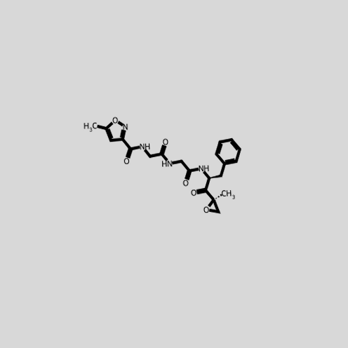 Cc1cc(C(=O)NCC(=O)NCC(=O)N[C@@H](Cc2ccccc2)C(=O)[C@@]2(C)CO2)no1